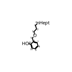 CCCCCCCCCCOCc1ccccc1O